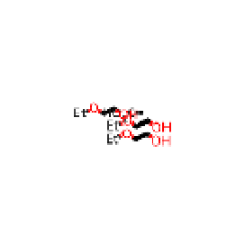 CC(=O)O.CCOCCO.CCOCCO.CCOCCO